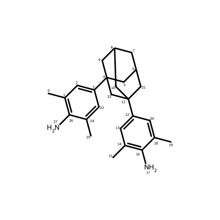 Cc1cc(C23CC4CC(C2)CC(c2cc(C)c(N)c(C)c2)(C4)C3)cc(C)c1N